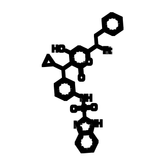 CCC(Cc1ccccc1)c1cc(O)c(C(c2cccc(NS(=O)(=O)c3nc4ccccc4[nH]3)c2)C2CC2)c(=O)o1